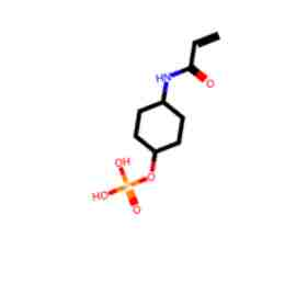 C=CC(=O)NC1CCC(OP(=O)(O)O)CC1